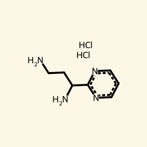 Cl.Cl.NCCC(N)c1ncccn1